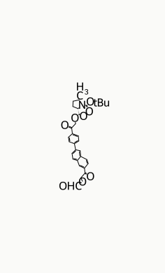 C[C@@H]1CC[C@@H](C(=O)OCC(=O)c2ccc(-c3ccc4cc(C(=O)COC=O)ccc4c3)cc2)N1C(=O)OC(C)(C)C